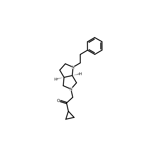 O=C(CN1C[C@H]2CCN(CCc3ccccc3)[C@H]2C1)C1CC1